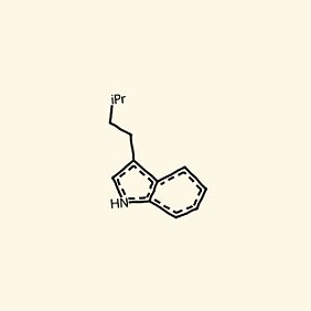 CC(C)CCc1c[nH]c2ccccc12